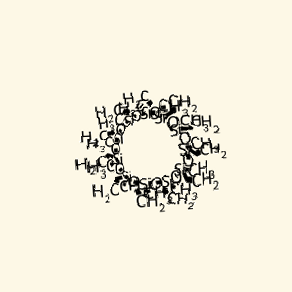 C=C[Si]1(C)O[Si](C)(C=C)O[Si](C)(C=C)O[Si](C)(C=C)O[Si](C)(C=C)O[Si](C)(C=C)O[Si](C)(C=C)O[Si](C)(C=C)O[Si](C)(C=C)O[Si](C)(C=C)O[Si](C)(C=C)O1